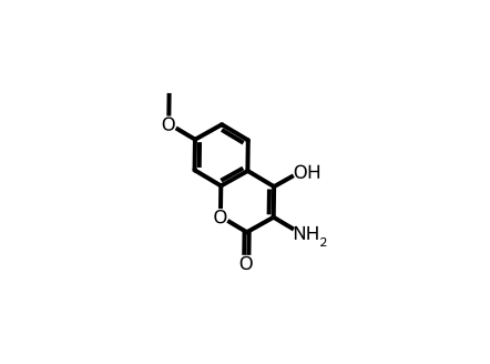 COc1ccc2c(O)c(N)c(=O)oc2c1